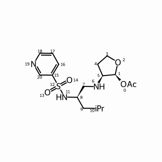 CC(=O)O[C@@H]1OCC[C@@H]1NC[C@@H](CC(C)C)NS(=O)(=O)c1cccnc1